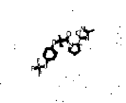 Cc1noc([C@@H]2CCCN2C(=O)C(C)(C)Oc2ccc(OC(F)(F)F)cc2)n1